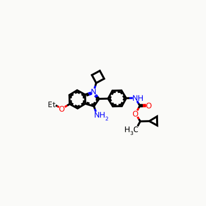 CCOc1ccc2c(c1)c(N)c(-c1ccc(NC(=O)OC(C)C3CC3)cc1)n2C1CCC1